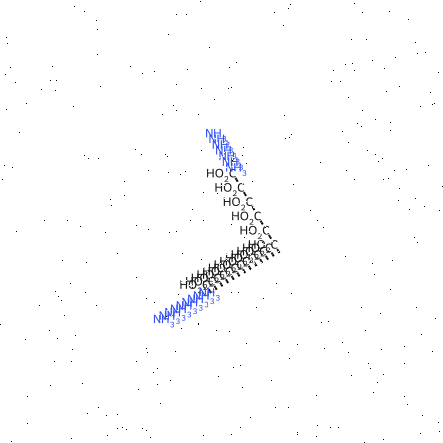 CC(=O)O.CC(=O)O.CC(=O)O.CC(=O)O.CC(=O)O.CC(=O)O.CC(=O)O.CC(=O)O.CC(=O)O.CC(=O)O.CC(=O)O.CC(=O)O.CC(=O)O.CC(=O)O.CC(=O)O.CC(=O)O.CC(=O)O.CC(=O)O.N.N.N.N.N.N.N.N.N.N.N.N.N.N.N.N